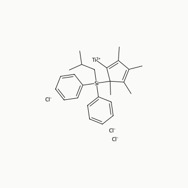 CC1=C(C)C(C)([Si](CC(C)C)(c2ccccc2)c2ccccc2)[C]([Ti+3])=C1C.[Cl-].[Cl-].[Cl-]